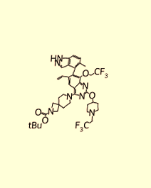 C=Cc1cc2c(N3CCC4(CC3)CN(C(=O)OC(C)(C)C)C4)nc(OC3CCN(CC(F)(F)F)CC3)nc2c(OCC(F)(F)F)c1-c1c(C)ccc2[nH]ncc12